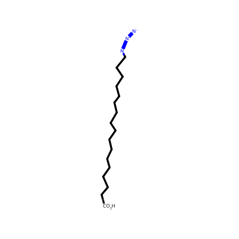 [N-]=[N+]=NCCCCCCCCCCCCCCCCC(=O)O